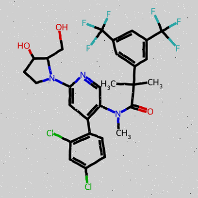 CN(C(=O)C(C)(C)c1cc(C(F)(F)F)cc(C(F)(F)F)c1)c1cnc(N2CCC(O)C2CO)cc1-c1ccc(Cl)cc1Cl